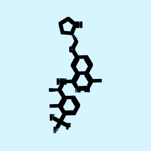 Cc1c([C@@H](C)Nc2nnc(C)c3ccc(OC[C@@H]4CCCN4)cc23)cccc1C(F)(F)F